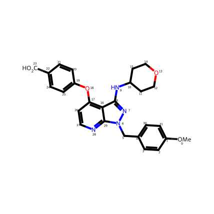 COc1ccc(Cn2nc(NC3CCOCC3)c3c(Oc4ccc(C(=O)O)cc4)ccnc32)cc1